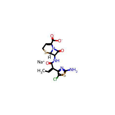 C/C=C(\C(=O)NC1C(=O)N2C(C(=O)[O-])=CCS[C@H]12)c1nc(N)sc1Cl.[Na+]